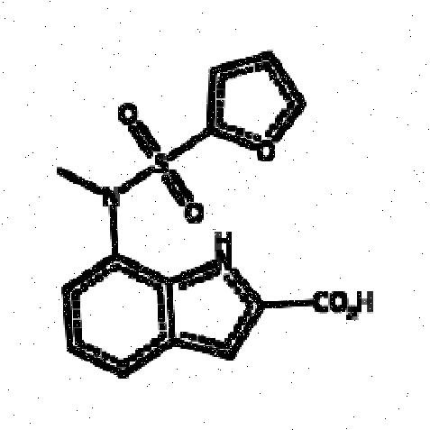 CN(c1cccc2cc(C(=O)O)[nH]c12)S(=O)(=O)c1ccco1